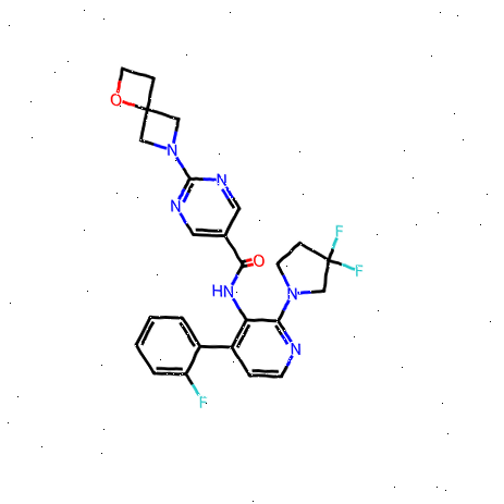 O=C(Nc1c(-c2ccccc2F)ccnc1N1CCC(F)(F)C1)c1cnc(N2CC3(CCO3)C2)nc1